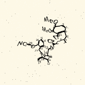 COc1ccc(CC(C)CCC(=O)[N]Cc2nc(C)c(C)n2Cc2ccccc2OCC#N)c(Cl)c1OC